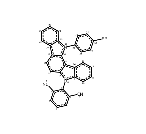 N#Cc1cccc(C#N)c1-n1c2ccccc2c2c1ccc1c3ccccc3n(-c3ccc(F)cc3)c12